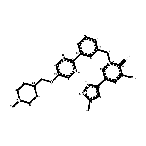 Cc1cc(-c2cc(F)c(=O)n(Cc3cccc(-c4ncc(OCC5CCN(C)CC5)cn4)c3)c2)sn1